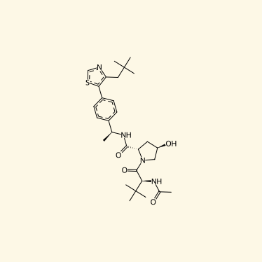 CC(=O)N[C@H](C(=O)N1C[C@H](O)C[C@H]1C(=O)N[C@@H](C)c1ccc(-c2scnc2CC(C)(C)C)cc1)C(C)(C)C